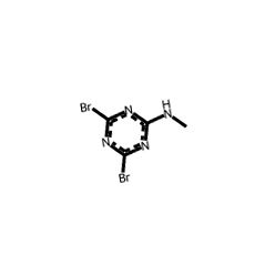 CNc1nc(Br)nc(Br)n1